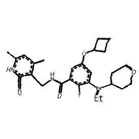 CCN(c1cc(OC2CCC2)cc(C(=O)NCc2c(C)cc(C)[nH]c2=O)c1F)C1CCOCC1